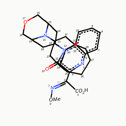 CO/N=C(\C(=O)O)c1nc2ccccc2n(C2CC3COCC(C2)N3C2CC3CCCCC(C3)C2)c1=O